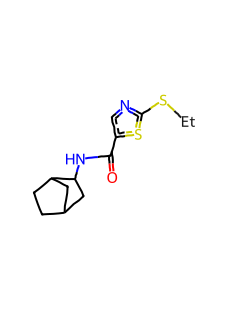 CCSc1ncc(C(=O)NC2CC3CCC2C3)s1